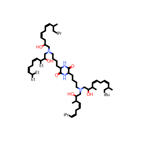 CCC(C)CC(C)/C=C\C/C=C\C(C)C(O)CN(CCCCC1NC(=O)C(CCCCN(CC(O)C/C=C\C/C=C\C(C)CC(C)C)CC(O)C(/C=C\C/C=C\C(CC)CC)CC)NC1=O)CC(O)C(C)/C=C\C/C=C\C(C)C